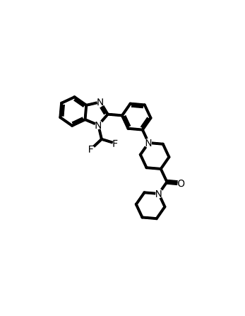 O=C(C1CCN(c2cccc(-c3nc4ccccc4n3C(F)F)c2)CC1)N1CCCCC1